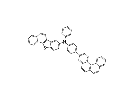 c1ccc(N(c2ccc(-c3ccc4c(ccc5ccc6ccccc6c54)c3)cc2)c2ccc3sc4c5ccccc5ccc4c3c2)cc1